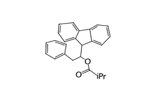 CC(C)C(=O)OC(Cc1ccccc1)C1c2ccccc2-c2ccccc21